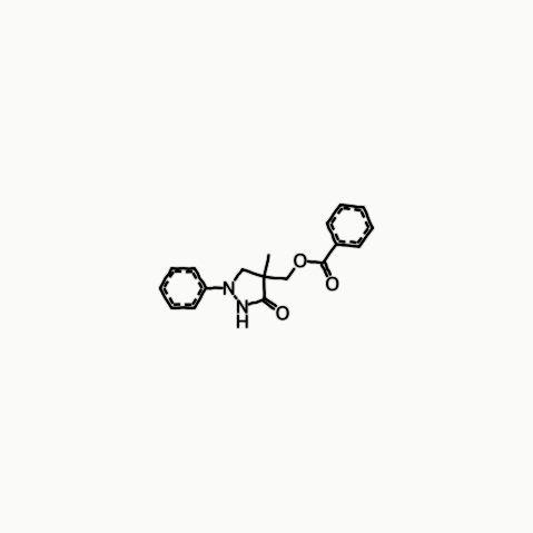 CC1(COC(=O)c2ccccc2)CN(c2ccccc2)NC1=O